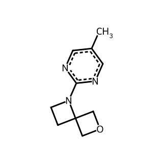 Cc1cnc(N2CCC23COC3)nc1